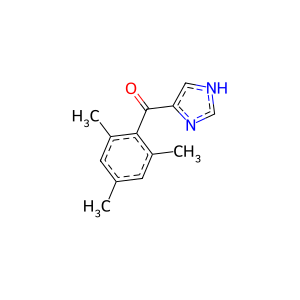 Cc1cc(C)c(C(=O)c2c[nH]cn2)c(C)c1